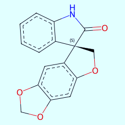 O=C1Nc2ccccc2[C@]12COc1cc3c(cc12)OCO3